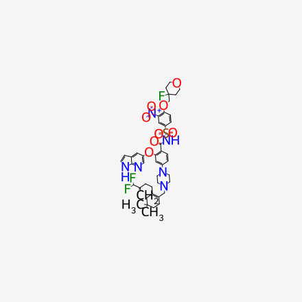 C=C(CCC1=C(CN2CCN(c3ccc(C(=O)NS(=O)(=O)c4ccc(OCC5(F)CCOCC5)c([N+](=O)[O-])c4)c(Oc4cnc5[nH]ccc5c4)c3)CC2)CCC(C)(C)C1)C(F)F